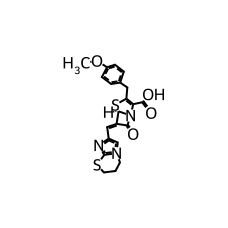 COc1ccc(CC2=C(C(=O)O)N3C(=O)C(=Cc4cn5c(n4)SCCC5)[C@H]3S2)cc1